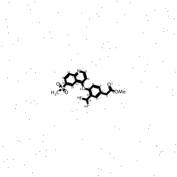 COC(=O)Cc1ccc(Oc2ccnc3ccc(S(C)(=O)=O)cc23)c(C(F)F)c1